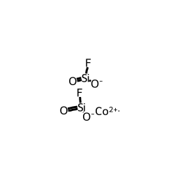 O=[Si]([O-])F.O=[Si]([O-])F.[Co+2]